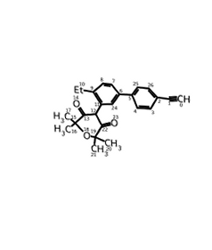 C#Cc1ccc(-c2ccc(CC)c(C3C(=O)C(C)(C)OC(C)(C)C3=O)c2)cc1